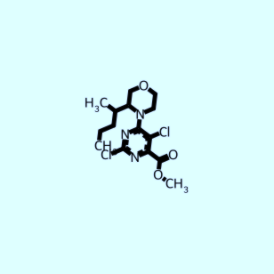 CCCC(C)C1COCCN1c1nc(Cl)nc(C(=O)OC)c1Cl